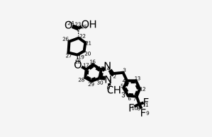 Cn1c(Cc2ccc(C(F)(F)F)cc2)nc2cc(O[C@H]3CC[C@@H](C(=O)O)CC3)ccc21